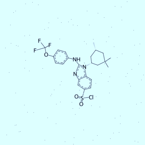 C[C@H]1C[C@@H](n2c(Nc3ccc(OC(F)(F)F)cc3)nc3cc(S(=O)(=O)Cl)ccc32)CC(C)(C)C1